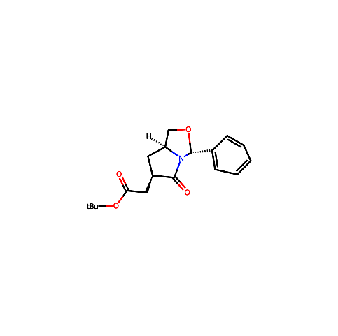 CC(C)(C)OC(=O)C[C@H]1C[C@H]2CO[C@H](c3ccccc3)N2C1=O